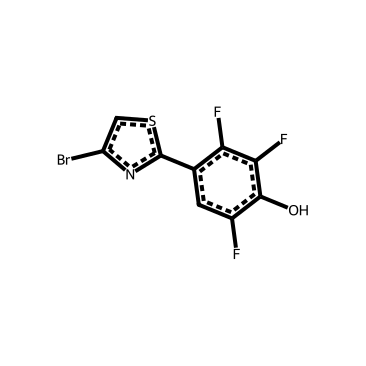 Oc1c(F)cc(-c2nc(Br)cs2)c(F)c1F